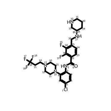 O=C(Nc1ccc(Cl)cc1N1CCN(CCC(F)(F)F)CC1)c1ccc(CN[C@@H]2CCCNC2)c(F)c1F